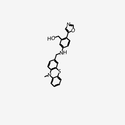 CN1c2ccccc2Sc2cc(CNc3ccc(-c4cnco4)c(CO)c3)ccc21